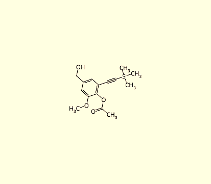 COc1cc(CO)cc(C#C[Si](C)(C)C)c1OC(C)=O